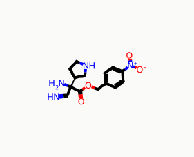 N=CC(N)(C(=O)OCc1ccc([N+](=O)[O-])cc1)[C@H]1CCNC1